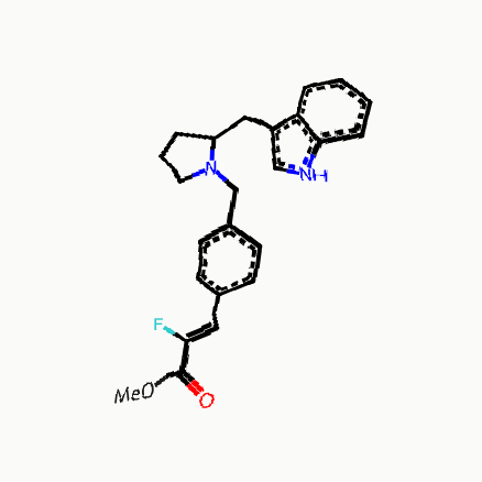 COC(=O)C(F)=Cc1ccc(CN2CCCC2Cc2c[nH]c3ccccc23)cc1